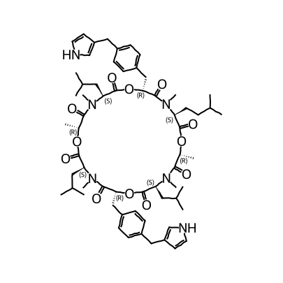 CC(C)CC[C@H]1C(=O)O[C@H](C)C(=O)N(C)[C@@H](CC(C)C)C(=O)O[C@H](Cc2ccc(Cc3cc[nH]c3)cc2)C(=O)N(C)[C@@H](CC(C)C)C(=O)O[C@H](C)C(=O)N(C)[C@@H](CC(C)C)C(=O)O[C@H](Cc2ccc(Cc3cc[nH]c3)cc2)C(=O)N1C